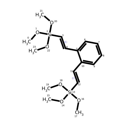 CO[Si](/C=C/c1ccccc1/C=C/[Si](OC)(OC)OC)(OC)OC